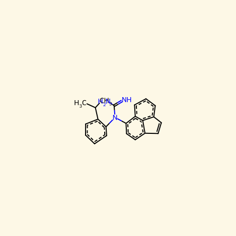 CC(C)c1ccccc1N(C(=N)N)c1ccc2c3c(cccc13)C=C2